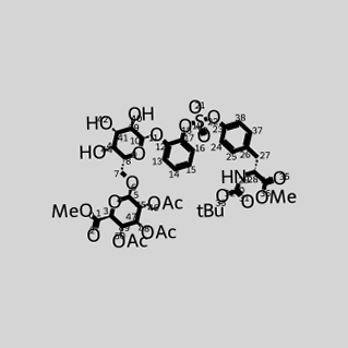 COC(=O)[C@H]1O[C@@H](OC[C@H]2O[C@@H](Oc3ccccc3OS(=O)(=O)Oc3ccc(C[C@@H](NC(=O)OC(C)(C)C)C(=O)OC)cc3)[C@H](O)[C@@H](O)[C@H]2O)[C@H](OC(C)=O)[C@@H](OC(C)=O)[C@@H]1OC(C)=O